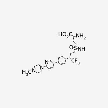 CN1CCN(c2ccc(-c3ccc(C(CCS(=N)(=O)CC[C@H](N)C(=O)O)C(F)(F)F)cc3)cn2)CC1